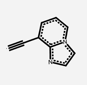 [C]#Cc1cccn2ccnc12